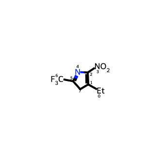 CCC1=C([N+](=O)[O-])N=C(C(F)(F)F)C1